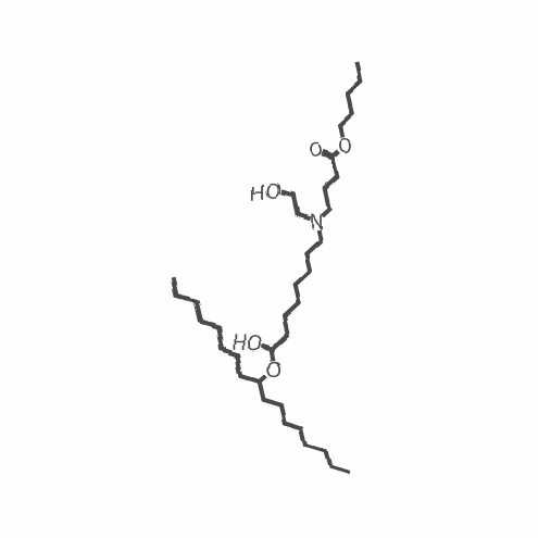 CCCCCCCCC(CCCCCCCC)OC(O)CCCCCCCN(CCO)CCCC(=O)OCCCCC